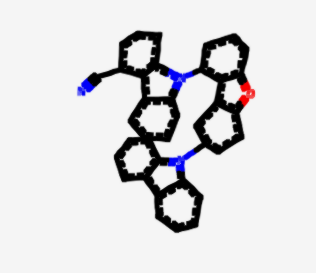 N#Cc1cccc2c1c1ccccc1n2-c1cccc2oc3ccc(-n4c5ccccc5c5ccccc54)cc3c12